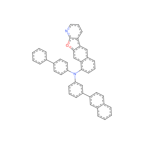 c1ccc(-c2ccc(N(c3cccc(-c4ccc5ccccc5c4)c3)c3cccc4cc5c(cc34)oc3ncccc35)cc2)cc1